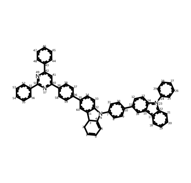 C1=CCC2C(=C1)N(c1ccc(-c3ccc4c(c3)c3ccccc3n4-c3ccccc3)cc1)c1ccc(-c3ccc(-c4cc(-c5ccccc5)nc(-c5ccccc5)n4)cc3)cc12